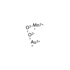 [Au+3].[Mn+2].[O-2].[O-2]